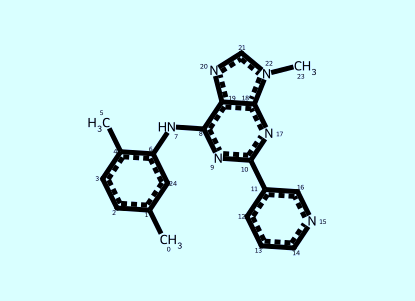 Cc1ccc(C)c(Nc2nc(-c3cccnc3)nc3c2ncn3C)c1